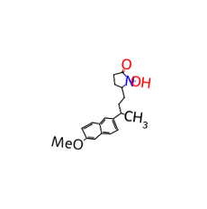 COc1ccc2cc(C(C)CCC3CCC(=O)N3O)ccc2c1